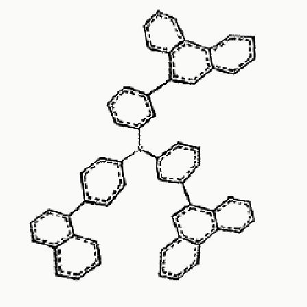 c1cc(-c2cc3ccccc3c3ccccc23)cc(N(c2ccc(-c3cccc4ccccc34)cc2)c2cccc(-c3cc4ccccc4c4ccccc34)c2)c1